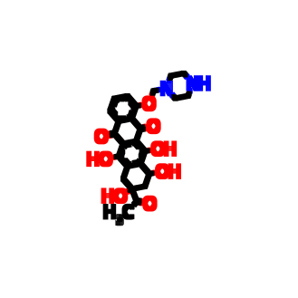 CC(=O)C1(O)Cc2c(O)c3c(c(O)c2C(O)C1)C(=O)c1c(OCN2CCNCC2)cccc1C3=O